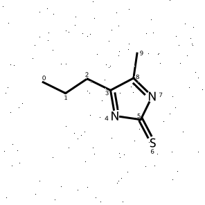 CCCC1=NC(=S)N=C1C